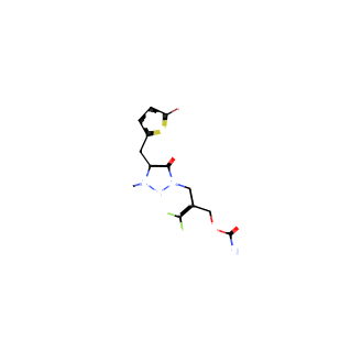 CN1NN(CC(COC(N)=O)=C(F)F)C(=O)C1Cc1ccc(Br)s1